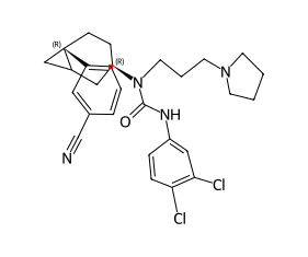 N#Cc1cccc([C@@]23CC[C@@H](N(CCCN4CCCC4)C(=O)Nc4ccc(Cl)c(Cl)c4)CC2C3)c1